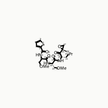 COCC(NC(=O)c1cccs1)C(=O)N[C@@H](COC)C(=O)N[C@@H](CC(C)C)C(=O)[C@@]1(C)CO1